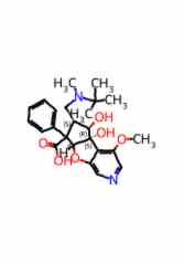 COc1cncc2c1[C@]1(O)[C@H](O)[C@H](CN(C)C(C)(C)C)C(C(=O)O)(c3ccccc3)[C@H]1O2